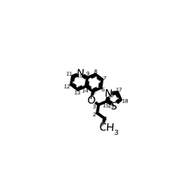 CCCC(Oc1cccc2ncccc12)c1nccs1